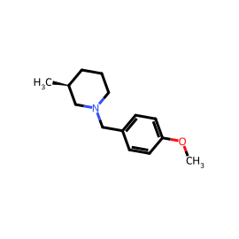 COc1ccc(CN2CCC[C@H](C)C2)cc1